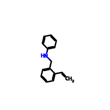 C=Cc1ccccc1CNc1ccccc1